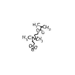 C=C(C)C(=O)OCC[N+](C)(C)CCS(=O)(=O)[O-]